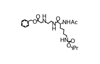 CC(=O)N[C@@H](CCCCNC(=O)OC(C)C)C(=O)NCCNCC(=O)OCc1ccccc1